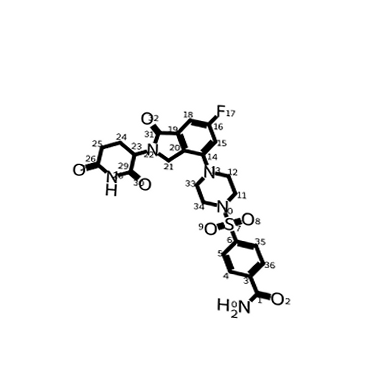 NC(=O)c1ccc(S(=O)(=O)N2CCN(c3cc(F)cc4c3CN(C3CCC(=O)NC3=O)C4=O)CC2)cc1